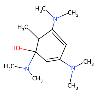 CC1C(N(C)C)=CC(N(C)C)=CC1(O)N(C)C